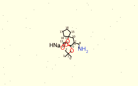 CC(C)(C)OC(=O)[C@H](CN)CC1(OC=O)CCCC1.[NaH]